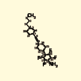 CCCCc1ccc(C#Cc2ccc(-c3c(F)c(F)c(N)c(F)c3F)cc2)cc1